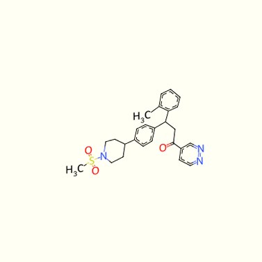 Cc1ccccc1C(CC(=O)c1ccnnc1)c1ccc(C2CCN(S(C)(=O)=O)CC2)cc1